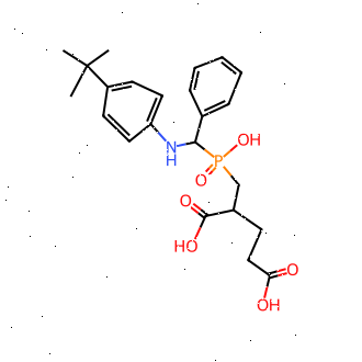 CC(C)(C)c1ccc(NC(c2ccccc2)P(=O)(O)CC(CCC(=O)O)C(=O)O)cc1